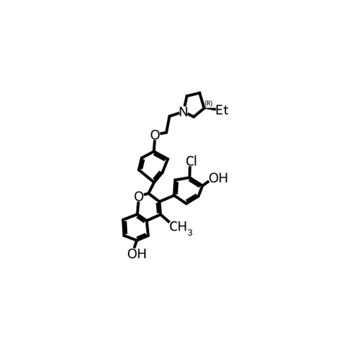 CC[C@@H]1CCN(CCOc2ccc(C3Oc4ccc(O)cc4C(C)=C3c3ccc(O)c(Cl)c3)cc2)C1